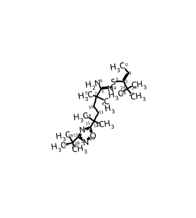 C/C=C(\S/N=C(\N)C(C)(C)CCC(C)(C)c1nc(C(C)(C)C)no1)C(C)(C)C